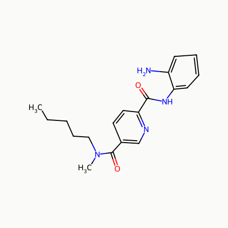 CCCCCN(C)C(=O)c1ccc(C(=O)Nc2ccccc2N)nc1